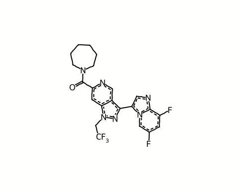 O=C(c1cc2c(cn1)c(-c1cnc3c(F)cc(F)cn13)nn2CC(F)(F)F)N1CCCCCC1